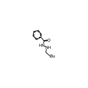 CCC(C)CNNC(=O)c1ccccc1